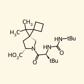 CC(C)(C)NC(=O)N[C@H](C(=O)N1C[C@]2(C[C@H]1C(=O)O)C(C)(C)C21CCC1)C(C)(C)C